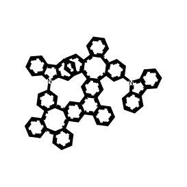 c1ccc2c(c1)c1ccccc1c1cc3c(cc1c1cc(-n4c5ccccc5c5ccccc54)ccc21)c1ccccc1c1cc2c4ccccc4c4ccccc4c4ccc(-n5c6ccccc6c6ccccc65)cc4c2cc13